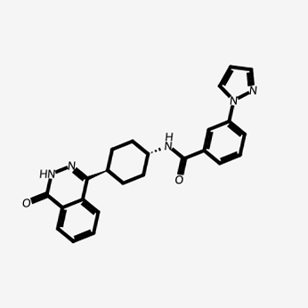 O=C(N[C@H]1CC[C@H](c2n[nH]c(=O)c3ccccc32)CC1)c1cccc(-n2cccn2)c1